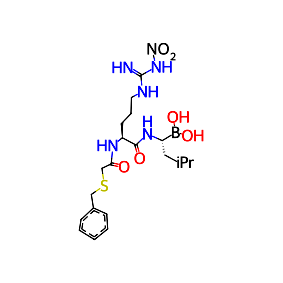 CC(C)C[C@H](NC(=O)[C@H](CCCNC(=N)N[N+](=O)[O-])NC(=O)CSCc1ccccc1)B(O)O